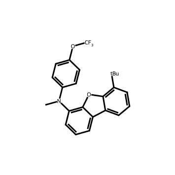 CN(c1ccc(OC(F)(F)F)cc1)c1cccc2c1oc1c(C(C)(C)C)cccc12